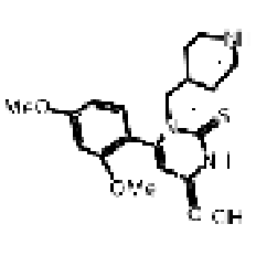 COc1ccc(-c2cc(=O)[nH]c(=S)n2CC2CCNCC2)c(OC)c1.Cl